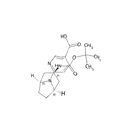 CC(C)(C)OC(=O)N[C@H]1C[C@H]2CC[C@@H](C1)N2c1ccc(C(=O)O)cn1